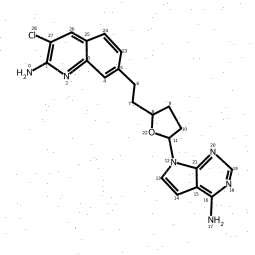 Nc1nc2cc(CCC3CCC(n4ccc5c(N)ncnc54)O3)ccc2cc1Cl